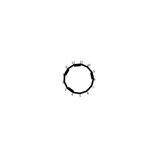 C1=CCC=CCCCC=CCC=C1